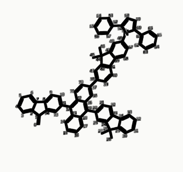 C=C1c2ccccc2-c2ccc(-c3c4ccccc4c(-c4ccc5c(c4)C(C)(C)c4ccccc4-5)c4cc(-c5ccc6c(c5)C(C)(C)c5cc(-n7c(-c8ccccc8)ccc7-c7ccccc7)ccc5-6)ccc34)cc21